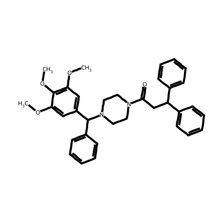 COc1cc(C(c2ccccc2)N2CCN(C(=O)CC(c3ccccc3)c3ccccc3)CC2)cc(OC)c1OC